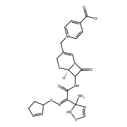 NC1(/C(=N/OC2C=CCC2)C(=O)NC2C(=O)N3C=C(C[n+]4ccc(C(=O)[O-])cc4)CS[C@H]23)N=CSN1